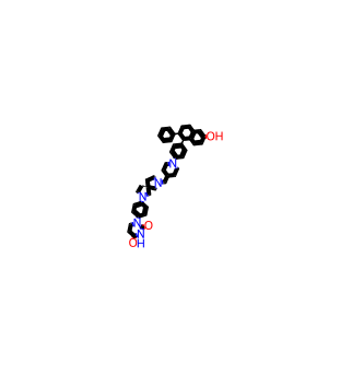 O=C1CCN(c2ccc(N3CC[C@@]4(CCN(CC5CCN(c6ccc([C@@H]7c8ccc(O)cc8CC[C@@H]7c7ccccc7)cc6)CC5)C4)C3)cc2)C(=O)N1